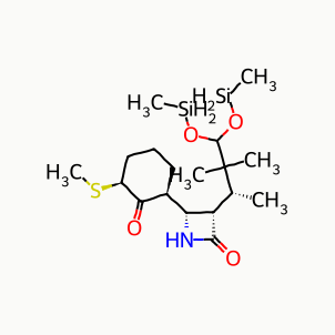 C[SiH2]OC(O[SiH2]C)C(C)(C)[C@H](C)[C@@H]1C(=O)N[C@@H]1[C@@H]1CCC[C@H](SC)C1=O